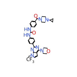 O=C(Nc1ccc(C(=O)N2CCN(C3CC3)CC2)cc1)Nc1ccc(-c2nc(N3CCOCC3)c3ccn(CC(F)(F)F)c3n2)cc1